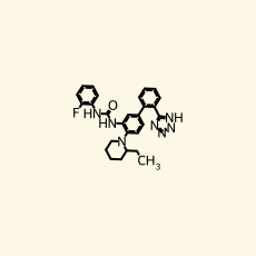 CCC1CCCCN1c1ccc(-c2ccccc2-c2nnn[nH]2)cc1NC(=O)Nc1ccccc1F